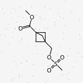 COC(=O)C12CC(COS(C)(=O)=O)(C1)C2